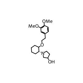 COc1ccc(CCOC2CCCC[C@H]2N2CCC(O)C2)cc1OC